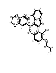 Cc1cccc2nc(-c3c(F)ccc(OCCF)c3F)c(Nc3ccc4c(c3)OCCO4)n12